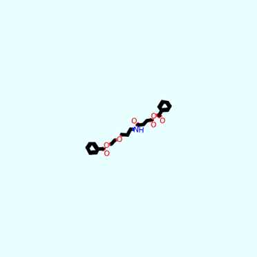 O=C(CCC(=O)OC(=O)c1ccccc1)NCCCOCCOC(=O)c1ccccc1